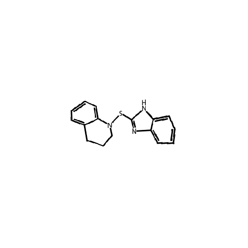 c1ccc2c(c1)CCCN2Sc1nc2ccccc2[nH]1